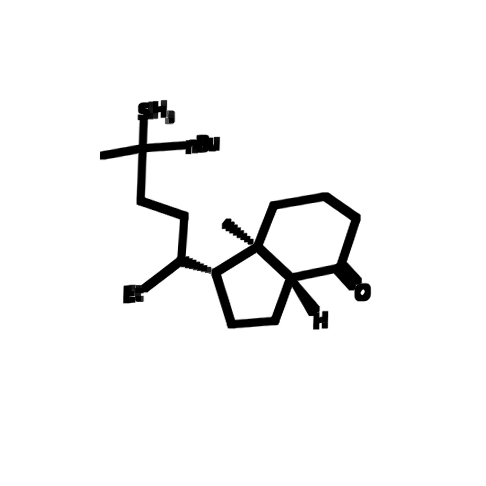 CCCCC(C)([SiH3])CCC(CC)[C@H]1CC[C@H]2C(=O)CCC[C@]12C